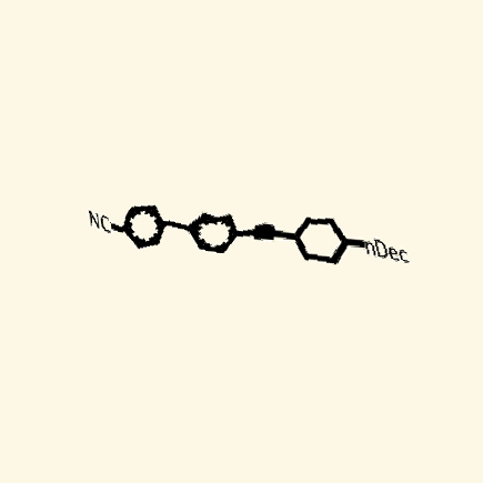 CCCCCCCCCCC1CCC(C#Cc2ccc(-c3ccc(C#N)cc3)cc2)CC1